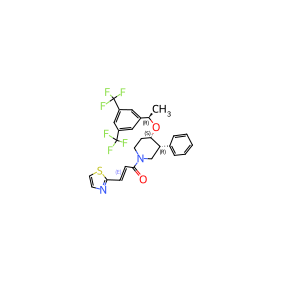 C[C@@H](O[C@H]1CCN(C(=O)/C=C/c2nccs2)C[C@H]1c1ccccc1)c1cc(C(F)(F)F)cc(C(F)(F)F)c1